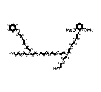 COc1cccc(OC)c1OCCOCCOCCN(CCOCCO)CCOCCOOCCOCCN(CCOCCO)CCOCCOCCOc1ccccc1